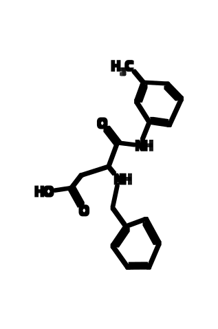 Cc1cccc(NC(=O)C(CC(=O)O)NCc2ccccc2)c1